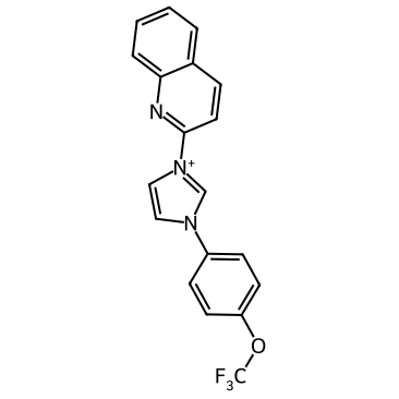 FC(F)(F)Oc1ccc(-n2cc[n+](-c3ccc4ccccc4n3)c2)cc1